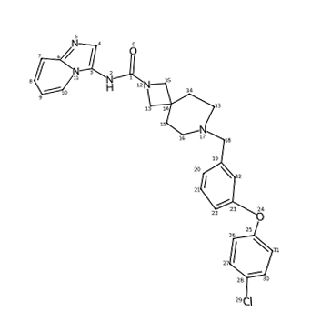 O=C(Nc1cnc2ccccn12)N1CC2(CCN(Cc3cccc(Oc4ccc(Cl)cc4)c3)CC2)C1